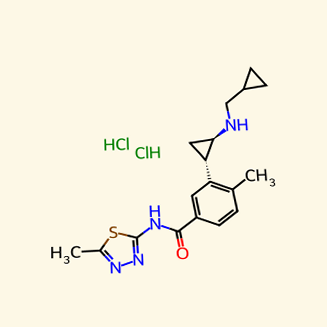 Cc1nnc(NC(=O)c2ccc(C)c([C@@H]3C[C@H]3NCC3CC3)c2)s1.Cl.Cl